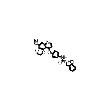 CCOc1cc2nccc(Oc3ccc(NC(=O)NCc4ccccc4Cl)cc3)c2c2c1OCCO2